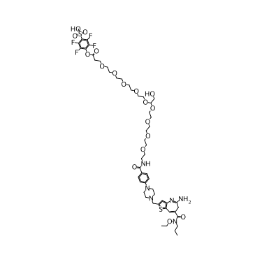 CCCN(OCC)C(=O)C1=Cc2sc(CN3CCN(c4ccc(C(=O)NCCOCCOCCOCCOC(CO)OCCOCCOCCOCCOCCC(=O)Oc5c(F)c(F)c(S(=O)(=O)O)c(F)c5F)cc4)CC3)cc2N=C(N)C1